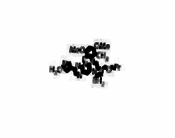 Bc1cn(COCCC)c(CN(C2=C(F)C(OC)=CC(OC)C2C)c2ccc3ncc(-c4cnn(C)c4)nc3n2)n1